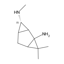 CN[C@H]1C2CC3C(C)(C)C3(N)C21